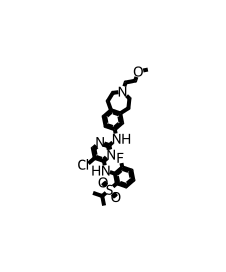 COCCN1CCc2ccc(Nc3ncc(Cl)c(Nc4c(F)cccc4S(=O)(=O)C(C)C)n3)cc2CC1